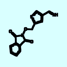 N=Cc1csc(CON2C(=O)c3ccccc3C2=O)c1